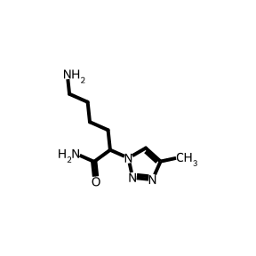 Cc1cn(C(CCCCN)C(N)=O)nn1